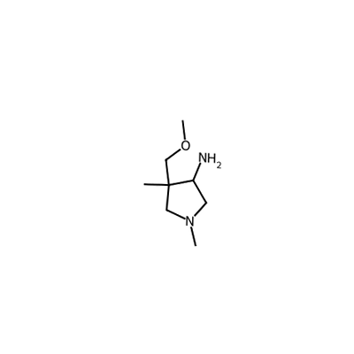 COCC1(C)CN(C)CC1N